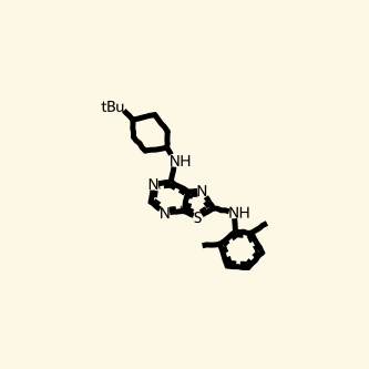 Cc1cccc(C)c1Nc1nc2c(NC3CCC(C(C)(C)C)CC3)ncnc2s1